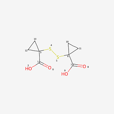 O=C(O)C1(SSC2(C(=O)O)CC2)CC1